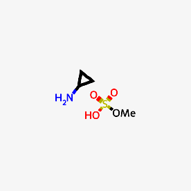 COS(=O)(=O)O.NC1CC1